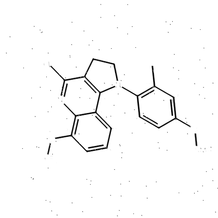 CSOc1ccc(N2CCc3c(Cl)nc4c(OC(F)(F)F)cccc4c32)c(C)c1